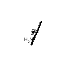 CCCCCCCCCCCCCCCCC(N)CCCC.O=CO